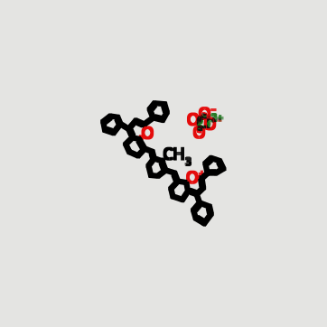 CC1=C(C=C2CCCc3c(-c4ccccc4)cc(-c4ccccc4)[o+]c32)CCCC1=CC1=C2OC(c3ccccc3)=CC(c3ccccc3)=C2CCC1.[O-][Cl+3]([O-])([O-])[O-]